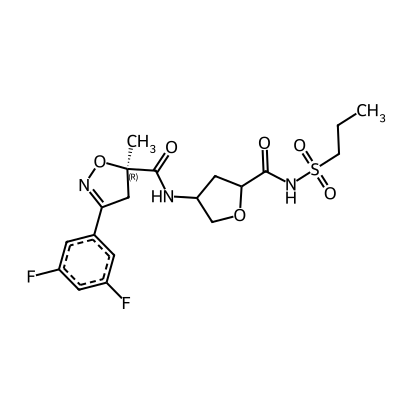 CCCS(=O)(=O)NC(=O)C1CC(NC(=O)[C@@]2(C)CC(c3cc(F)cc(F)c3)=NO2)CO1